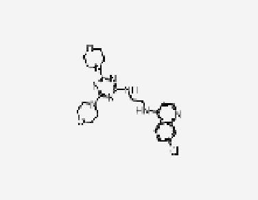 Clc1ccc2c(NCCNc3nc(N4CCOCC4)nc(N4CCOCC4)n3)ccnc2c1